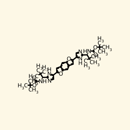 CC(C)(C)OC(=O)N[C@H](c1ncc(-c2cc3cc4oc(-c5cnc([C@@H](NC(=O)OC(C)(C)C)C(C)(C)C)[nH]5)cc4cc3o2)[nH]1)C(C)(C)C